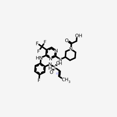 C/C=C/S(=O)(=O)Nc1cc(F)ccc1Nc1nc(NC2CCCN(C(=O)CO)C2)ncc1C(F)(F)F